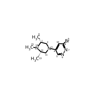 C[C@@H]1CN(c2cnnc(Br)c2)C[C@H](C)N1C